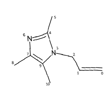 C=CCn1c(C)nc(C)c1C